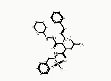 CC(C)C[C@@H](C(=O)NN(Cc1ccccc1)S(C)(=O)=O)[C@H](CC=Cc1ccccc1)C(=O)NOC1CCCCO1